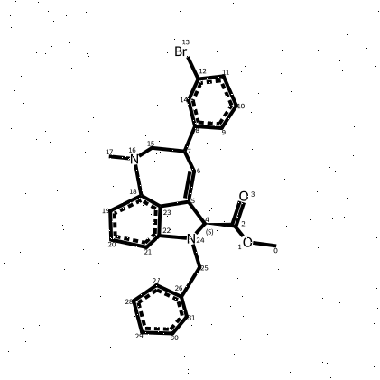 COC(=O)[C@@H]1C2=CC(c3cccc(Br)c3)CN(C)c3cccc(c32)N1Cc1ccccc1